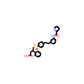 O=C(O)CC(CS(=O)(=O)c1ccc(CCc2cccc(NC(=O)c3ccccn3)c2)cc1)c1ccccc1